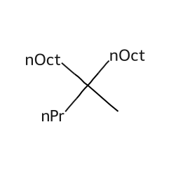 CCCCCCCCC(C)(CCC)CCCCCCCC